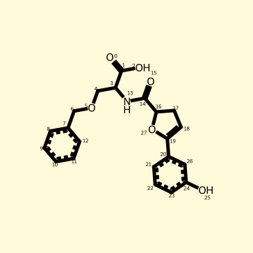 O=C(O)C(COCc1ccccc1)NC(=O)C1CC=C(c2cccc(O)c2)O1